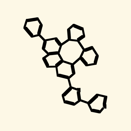 c1ccc(-c2cc3ccc4cc(-c5cccc(-c6ccncc6)n5)cc5c6ccccc6c6ccccc6c(c2)c3c45)cc1